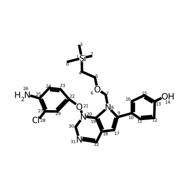 C[Si](C)(C)CCOCn1c(-c2ccc(O)cc2)cc2c1N(Oc1ccc(N)c(Cl)c1)CN=C2